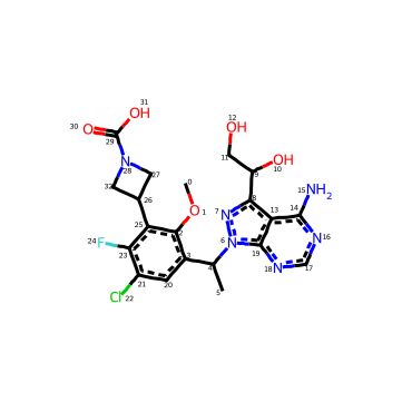 COc1c(C(C)n2nc(C(O)CO)c3c(N)ncnc32)cc(Cl)c(F)c1C1CN(C(=O)O)C1